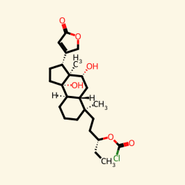 CC[C@H](CC[C@@]1(C)CCC[C@@H]2[C@@H]1C[C@@H](O)[C@]1(C)[C@@H](C3=CC(=O)OC3)CC[C@]21O)OC(=O)Cl